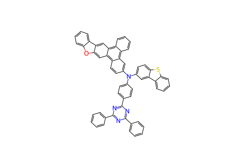 c1ccc(-c2nc(-c3ccccc3)nc(-c3ccc(N(c4ccc5sc6ccccc6c5c4)c4ccc5c(c4)c4ccccc4c4cc6c(cc54)oc4ccccc46)cc3)n2)cc1